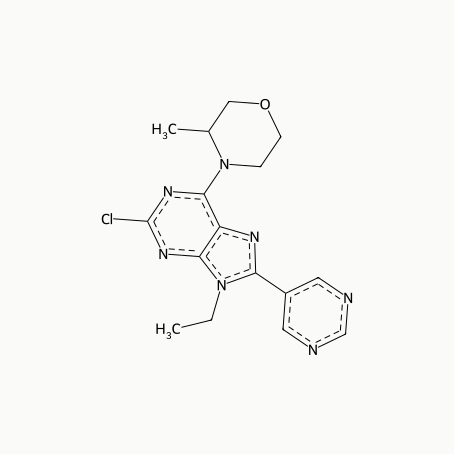 CCn1c(-c2cncnc2)nc2c(N3CCOCC3C)nc(Cl)nc21